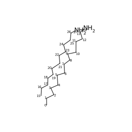 CCCCCCCCCCCCCCN.CCCCCCCCCCCCN